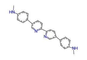 CNc1ccc(-c2ccc(-c3ccc(-c4ccc(NC)cc4)cn3)nc2)cc1